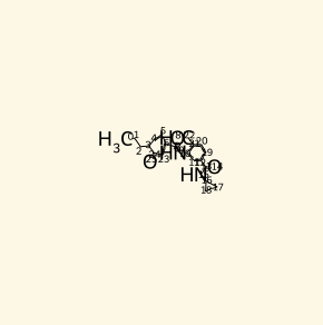 CCCC1C=CC(C(=O)Nc2cc(C(=O)NC3CC3)ccc2C)=CC1=O